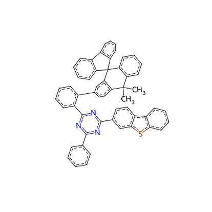 CC1(C)c2ccccc2C2(c3ccccc3-c3ccccc32)c2cc(-c3ccccc3-c3nc(-c4ccccc4)nc(-c4ccc5c(c4)sc4ccccc45)n3)ccc21